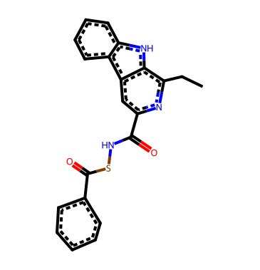 CCc1nc(C(=O)NSC(=O)c2ccccc2)cc2c1[nH]c1ccccc12